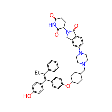 CCC(=C(c1ccc(O)cc1)c1ccc(OC2CCC(CN3CCN(c4ccc5c(c4)CN(C4CCC(=O)NC4=O)C5=O)CC3)CC2)cc1)c1ccccc1